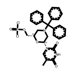 Cc1cn([C@H]2CN(C(c3ccccc3)(c3ccccc3)c3ccccc3)C[C@@H](COP(=O)(Cl)Cl)O2)c(=O)[nH]c1=O